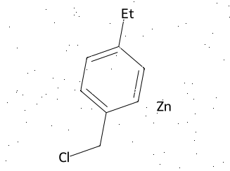 CCc1ccc(CCl)cc1.[Zn]